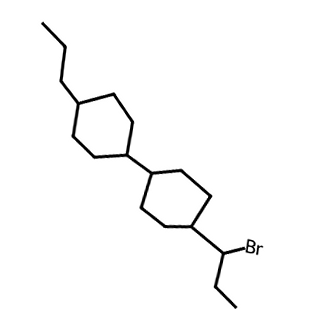 CCCC1CCC(C2CCC(C(Br)CC)CC2)CC1